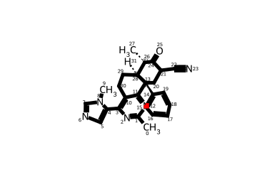 Cc1nc(-c2cncn2C)c2c(n1)[C@@]1(c3ccccc3)CC(C#N)C(=O)[C@@H](C)[C@@H]1CC2